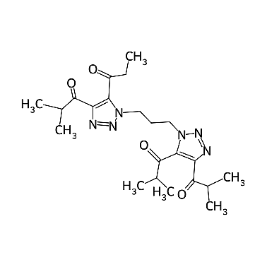 CCC(=O)c1c(C(=O)C(C)C)nnn1CCCn1nnc(C(=O)C(C)C)c1C(=O)C(C)C